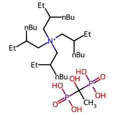 CC(O)(P(=O)(O)O)P(=O)(O)O.CCCCC(CC)C[N+](CC(CC)CCCC)(CC(CC)CCCC)CC(CC)CCCC